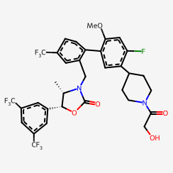 COc1cc(F)c(C2CCN(C(=O)CO)CC2)cc1-c1ccc(C(F)(F)F)cc1CN1C(=O)O[C@H](c2cc(C(F)(F)F)cc(C(F)(F)F)c2)[C@@H]1C